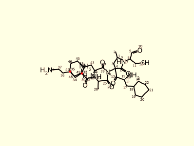 CC(C)CC(C(=O)NC([C]=O)CS)(C(=O)[C@@H](N)CC1CCCCC1)N(C(=O)C(C)NC(=O)C(N)CCCCN)C(=O)[C@@H](N)CC1CCCCC1